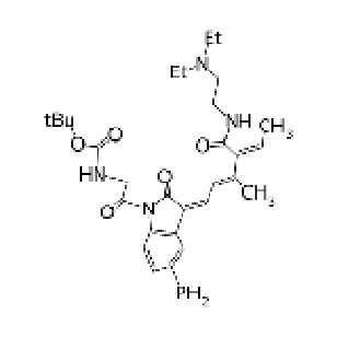 C/C=C(C(=O)NCCN(CC)CC)/C(C)=C/C=C1\C(=O)N(C(=O)CNC(=O)OC(C)(C)C)c2ccc(P)cc21